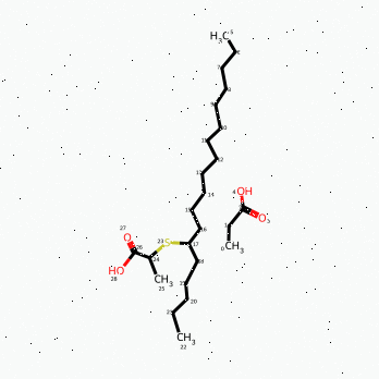 CCC(=O)O.CCCCCCCCCCCCC(CCCCC)SC(C)C(=O)O